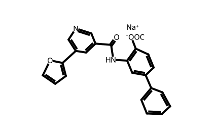 O=C(Nc1cc(-c2ccccc2)ccc1C(=O)[O-])c1cncc(-c2ccco2)c1.[Na+]